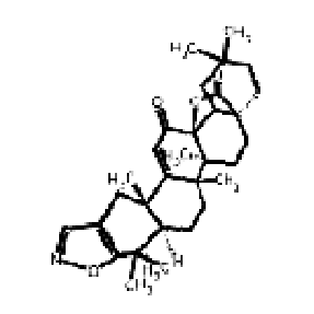 CC1(C)CC[C@@]23CC[C@@]4(C)[C@]5(C)CC[C@H]6C(C)(C)c7oncc7C[C@]6(C)C5=CC(=O)[C@]4(OC2=O)C3C1